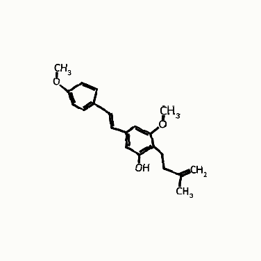 C=C(C)CCc1c(O)cc(/C=C/c2ccc(OC)cc2)cc1OC